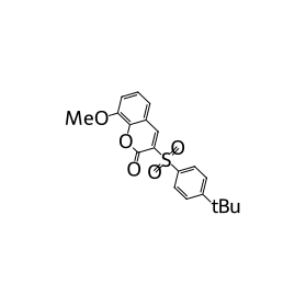 COc1cccc2cc(S(=O)(=O)c3ccc(C(C)(C)C)cc3)c(=O)oc12